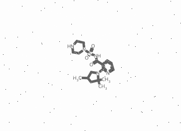 CC1CN(c2ncccc2C(=O)NS(=O)(=O)N2CCNCC2)C(C)(C)C1